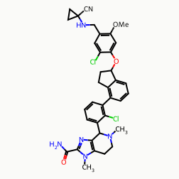 COc1cc(OC2CCc3c(-c4cccc(C5c6nc(C(N)=O)n(C)c6CCN5C)c4Cl)cccc32)c(Cl)cc1CNC1(C#N)CC1